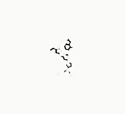 C/C=C\c1cc(Nc2cc(N3CCC(N(CC)CC)C3)nc(Oc3ccc4[nH]c(C)cc4c3F)n2)n[nH]1